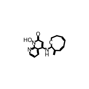 C=C1/C=C\C=C/CCCC1Nc1cc(=O)n(O)c2ncccc12